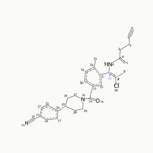 C#CCCC(=C)N/C(=C(\C)Cl)c1cc(C(=O)N2CCC(c3ccc(C#N)cc3)CC2)ccc1C